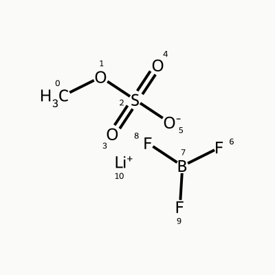 COS(=O)(=O)[O-].FB(F)F.[Li+]